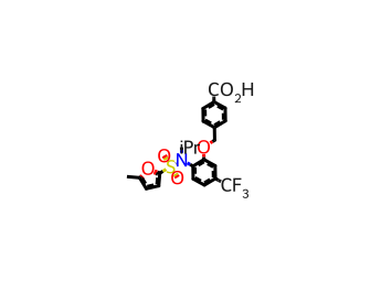 Cc1ccc(S(=O)(=O)N(c2ccc(C(F)(F)F)cc2OCc2ccc(C(=O)O)cc2)C(C)C)o1